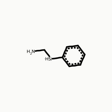 NC[SiH]c1ccccc1